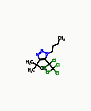 CCCCn1nnc(C(C)(C)C)c1C(Cl)(Cl)C(Cl)(Cl)Cl